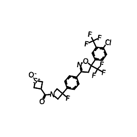 O=C(C1C[S+]([O-])C1)N1CC(F)(c2ccc(C3=NOC(c4ccc(Cl)c(C(F)(F)F)c4)(C(F)(F)F)C3)cc2)C1